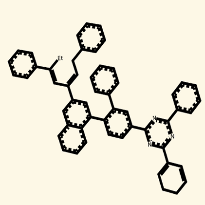 CC/C(=C\C(=C/Cc1ccccc1)c1cc(-c2ccc(-c3nc(C4=CCCC=C4)nc(-c4ccccc4)n3)cc2-c2ccccc2)c2ccccc2c1)c1ccccc1